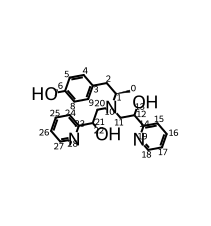 C[C@H](Cc1ccc(O)cc1)N(CC(O)c1ccccn1)CC(O)c1ccccn1